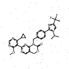 COc1ncnc(C2CC2)c1-c1ncc2c(n1)N(Cc1ccc(-c3nc(C(F)(F)F)cn3C(C)C)cc1)C(=O)OC2